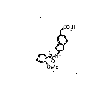 COc1ccccc1S(=O)(=O)NC1Cc2ccc(CC(=O)O)cc2C1